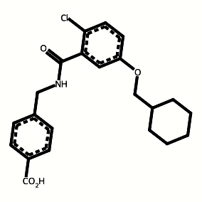 O=C(O)c1ccc(CNC(=O)c2cc(OCC3CCCCC3)ccc2Cl)cc1